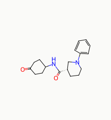 O=C1CCC(NC(=O)[C@H]2CCCN(c3ccccc3)C2)CC1